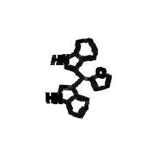 c1coc(C(c2c[nH]c3ccccc23)c2c[nH]c3ccccc23)c1